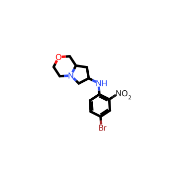 O=[N+]([O-])c1cc(Br)ccc1NC1CC2COCCN2C1